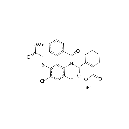 COC(=O)CSc1cc(N(C(=O)C2=C(C(=O)OC(C)C)CCCC2)C(=O)c2ccccc2)c(F)cc1Cl